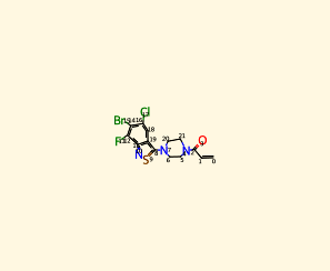 C=CC(=O)N1CCN(c2snc3c(F)c(Br)c(Cl)cc23)CC1